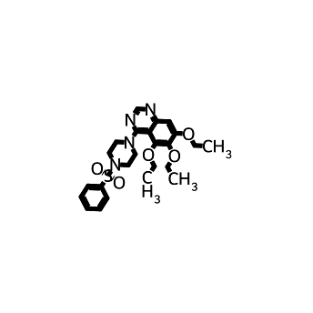 CCOc1cc2ncnc(N3CCN(S(=O)(=O)c4ccccc4)CC3)c2c(OCC)c1OCC